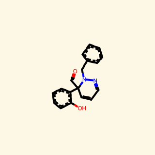 O=CC1(c2ccccc2O)C=CC=NN1Cc1ccccc1